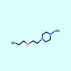 CC(C)(C)CCOCCN1CCN(C(C)(C)C)CC1